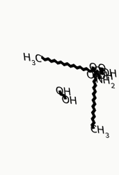 CCCCCCCCCCCCCCCCCC(=O)C(CN)(OP(=O)(O)O)C(=O)CCCCCCCCCCCCCCCCC.OCCO